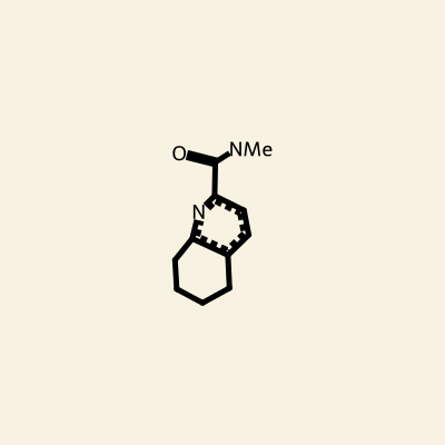 CNC(=O)c1ccc2c(n1)CCCC2